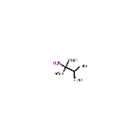 CCCCCCCCC(CCCC)C(P)(CCCCCCCC)CCCCCCCC